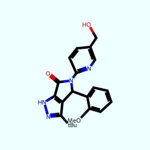 COc1ccccc1C1c2c(C(C)(C)C)n[nH]c2C(=O)N1c1ccc(CO)cn1